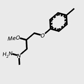 COC(COc1ccc(C)cc1)CN(C)N